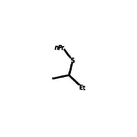 CCCSC(C)CC